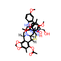 COC1=C(O)C2(C)C(C=C1C)CC1(C)CN(C)C2[C@@H]2[C@@H]3SC[C@]4(N[C@H](CO)Cc5c4[nH]c4ccc(OC)cc54)C(=O)OC[C@@H](c4c5c(c(C)c(OC(C)=O)c43)OCO5)N21